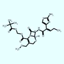 CC/C=C(/C(=O)N[C@@H]1C(=O)N2C(C(=O)OCOC(=O)C(C)(C)C)=C(COC)CS[C@H]12)c1csc(N)n1